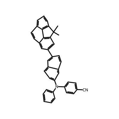 CC1(C)c2cccc3ccc4cc(-c5ccc6cc(N(c7ccccc7)c7ccc(C#N)cc7)ccc6c5)cc1c4c23